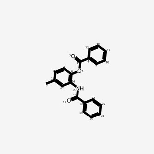 Cc1ccc(OC(=O)c2ccccc2)c(NC(=O)c2ccccc2)c1